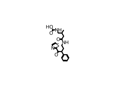 CC(CNC(=O)O)CC(=O)NCCC(C(=O)c1nccs1)c1ccccc1